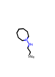 CSCCNN1CCCCCCC1